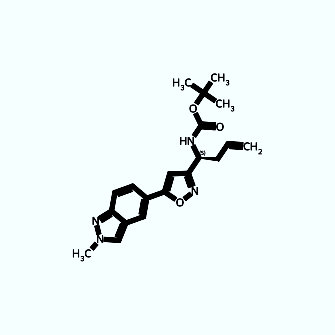 C=CC[C@H](NC(=O)OC(C)(C)C)c1cc(-c2ccc3nn(C)cc3c2)on1